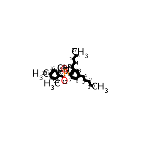 CCCCCc1ccc([P](=O)C(=O)c2c(C)cc(C)cc2C)c(CCCCC)c1